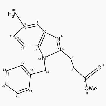 COC(=O)CCc1nc2cc(N)ccc2n1Cc1ccccc1